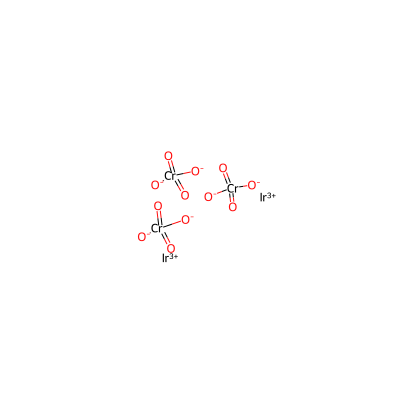 [Ir+3].[Ir+3].[O]=[Cr](=[O])([O-])[O-].[O]=[Cr](=[O])([O-])[O-].[O]=[Cr](=[O])([O-])[O-]